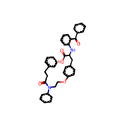 O=C(c1ccccc1)c1ccccc1NC(Cc1ccc(OCCN(C(=O)CCc2ccccc2)c2ccccc2)cc1)C(=O)O